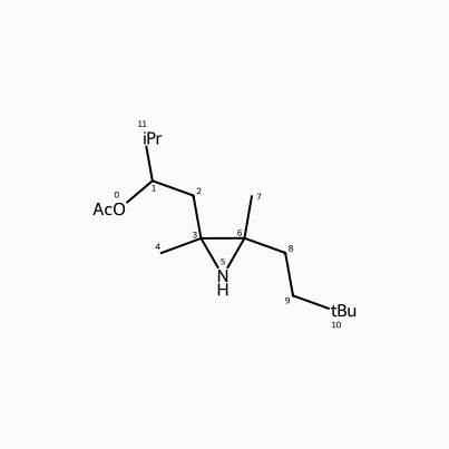 CC(=O)OC(CC1(C)NC1(C)CCC(C)(C)C)C(C)C